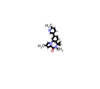 Cc1cc2n(c1)-c1cc(-c3ccc(C)nc3)ccc1C1(CC1)N(C)C2=O